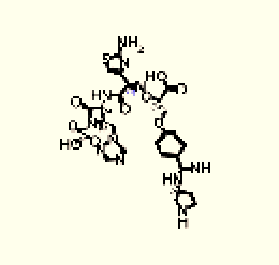 N=C(N[C@H]1CCNC1)c1ccc(OC[C@H](O/N=C(\C(=O)N[C@@H]2C(=O)N(S(=O)(=O)O)[C@@H]2Cn2cncn2)c2csc(N)n2)C(=O)O)cc1